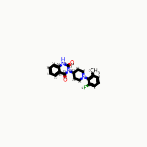 Cc1cccc(F)c1N1CCC(n2c(=O)[nH]c3ccccc3c2=O)CC1